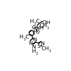 Cc1ncc(-c2nc(-c3cc(S(=O)(=O)NCC(C)(C)CO)ccc3C)cnc2N)s1